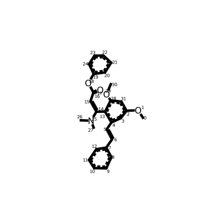 COc1cc(/C=C/c2ccccc2)c(/C(=C\C(=O)Oc2ccccc2)N(C)C)c(OC)c1